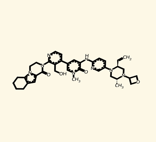 C=C[C@H]1CN(C2COC2)[C@H](C)CN1c1ccc(Nc2cc(-c3ccnc(N4CCn5c(cc6c5CCCC6)C4=O)c3CO)cn(C)c2=O)nc1